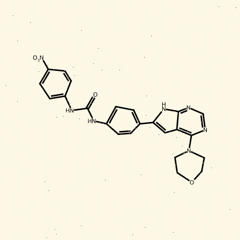 O=C(Nc1ccc(-c2cc3c(N4CCOCC4)ncnc3[nH]2)cc1)Nc1ccc([N+](=O)[O-])cc1